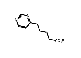 CCOC(=O)CSCCc1ccncn1